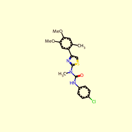 COc1cc(C)c(-c2csc(N(C)C(=O)Nc3ccc(Cl)cc3)n2)cc1OC